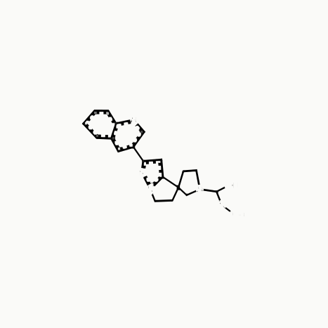 CC(C)(C)NC(O)N1CCC2(CCn3nc(-c4cnc5ccccc5c4)cc32)C1